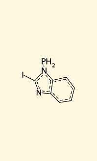 Pn1c(I)nc2ccccc21